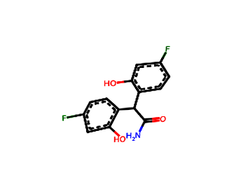 NC(=O)C(c1ccc(F)cc1O)c1ccc(F)cc1O